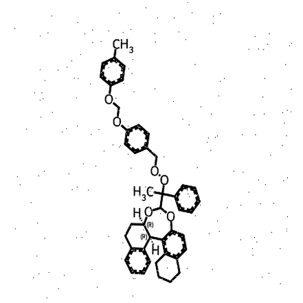 Cc1ccc(OCOc2ccc(COOC(C)(c3ccccc3)C3Oc4ccc5c(c4[C@H]4c6ccccc6CC[C@H]4O3)CCCC5)cc2)cc1